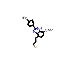 COc1ccc(CCCBr)c2nc(-c3ccc(C(C)C)cc3)[nH]c12